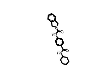 O=C(NC1CCCCC1)c1ccc(NC(=O)N2Cc3ccccc3C2)cc1